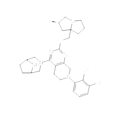 F[C@H]1CN2CCCC2(COc2nc3c(c(N4CC5CCC(C4)N5)n2)CCN(c2cccc(Cl)c2C(F)(F)F)C3)C1